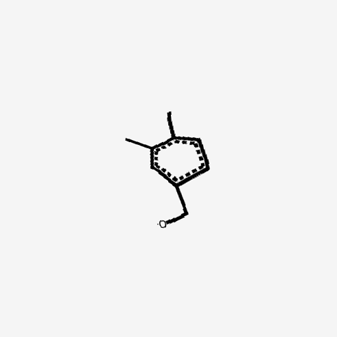 Cc1ccc(C[O])cc1C